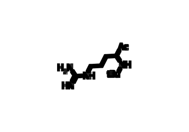 CC(=O)C(CCCNC(=N)N)NC(C)(C)C